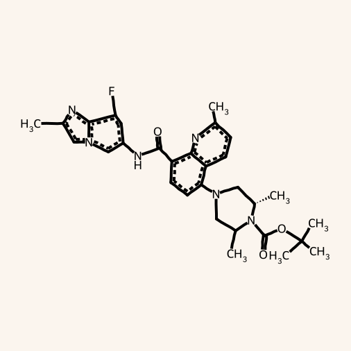 Cc1ccc2c(N3CC(C)N(C(=O)OC(C)(C)C)[C@@H](C)C3)ccc(C(=O)Nc3cc(F)c4nc(C)cn4c3)c2n1